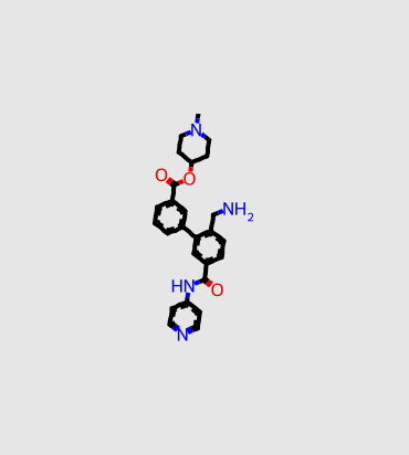 CN1CCC(OC(=O)c2cccc(-c3cc(C(=O)Nc4ccncc4)ccc3CN)c2)CC1